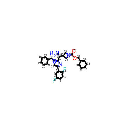 N[C@@H](c1nc(-c2cc(F)ccc2F)cn1Cc1ccccc1)C1CN(C(=O)OCc2ccccc2)C1